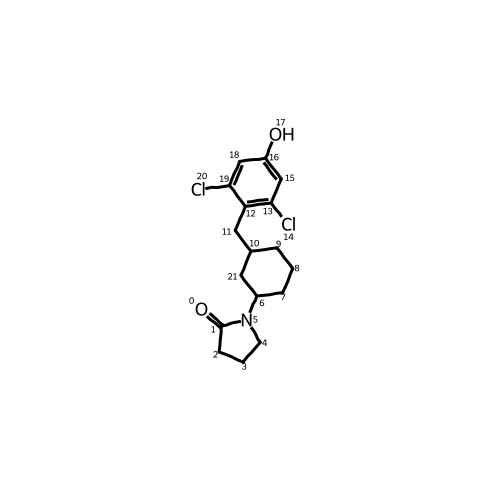 O=C1CCCN1C1CCCC(Cc2c(Cl)cc(O)cc2Cl)C1